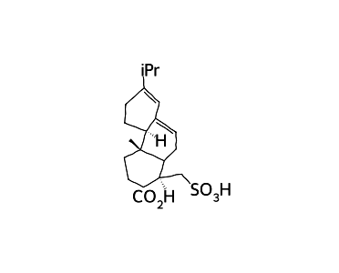 CC(C)C1=CC2=CCC3[C@](CS(=O)(=O)O)(C(=O)O)CCC[C@]3(C)[C@H]2CC1